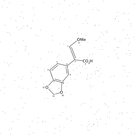 COC=C(C(=O)O)c1ccc2c(c1)OCO2